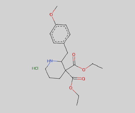 CCOC(=O)C1(C(=O)OCC)CCCNC1Cc1ccc(OC)cc1.Cl